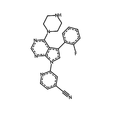 N#Cc1ccnc(-n2cc(-c3ccccc3F)c3c(N4CCNCC4)ncnc32)c1